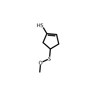 COSC1CC=C(S)C1